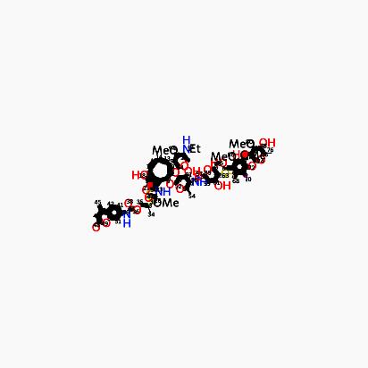 CCN[C@H]1CO[C@@H](O[C@H]2[C@H](O[C@H]3C#CC=CC#C[C@]4(O)CC(=O)C(NC(=O)OC)=C3/C4=C\CSS[C@H](C)COC(=O)Nc3ccc4c(C)cc(=O)oc4c3)O[C@H](C)[C@@H](NO[C@H]3C[C@H](O)[C@H]([SH]=C(O)c4c(C)c(I)c(O[C@@H]5O[C@@H](C)[C@H](O)[C@@H](OC)[C@H]5O)c(OC)c4OC)[C@@H](C)O3)[C@@H]2O)C[C@@H]1OC